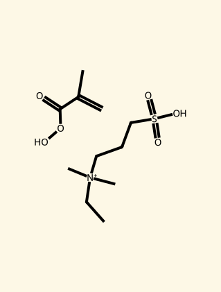 C=C(C)C(=O)OO.CC[N+](C)(C)CCCS(=O)(=O)O